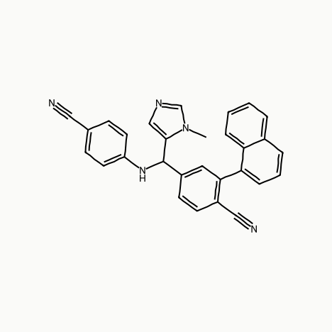 Cn1cncc1C(Nc1ccc(C#N)cc1)c1ccc(C#N)c(-c2cccc3ccccc23)c1